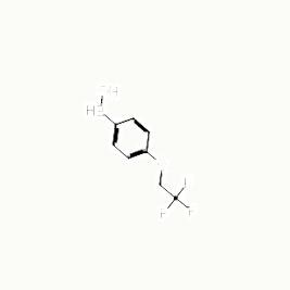 OBc1ccc(OCC(F)(F)F)cc1